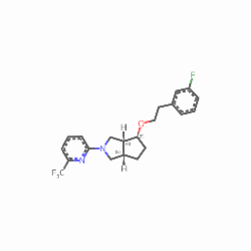 Fc1cccc(CCO[C@H]2CC[C@@H]3CN(c4cccc(C(F)(F)F)n4)C[C@@H]32)c1